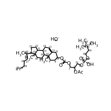 CC(=O)OC(COC(=O)O[C@H]1CC[C@@]2(C)C(=CCC3C2CC[C@@]2(C)C3CC[C@@H]2[C@H](C)CCCC(C)C)C1)COP(=O)(O)OCC[N+](C)(C)C.[OH-]